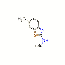 CCCCNc1nc2ccc(C)cc2s1